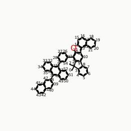 CC1(C)c2ccccc2-c2cc3c(oc4ccc5ccccc5c43)c(-c3cccc(-c4c5ccccc5c(-c5ccc6ccccc6c5)c5ccccc45)c3)c21